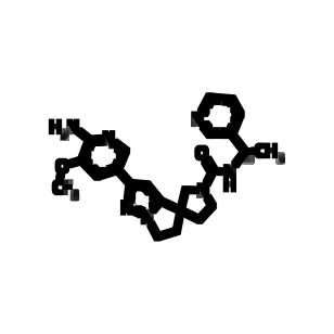 C[C@@H](NC(=O)N1CCC2(CCn3nc(-c4cnc(N)c(OC(F)(F)F)c4)cc32)C1)c1cccnc1